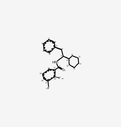 O=C(NC(Cc1ccccc1)C1CCCCC1)c1cccc(F)c1F